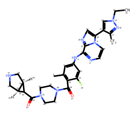 Cc1cc(Nc2nccn3c(-c4cn(CC#N)nc4C(F)(F)F)cnc23)cc(F)c1C(=O)N1CCN(C(=O)C2[C@H]3CNC[C@@H]23)CC1